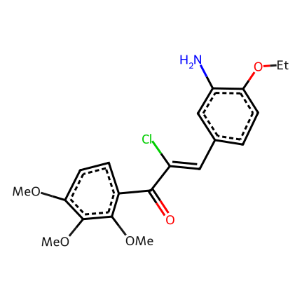 CCOc1ccc(C=C(Cl)C(=O)c2ccc(OC)c(OC)c2OC)cc1N